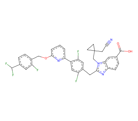 N#CCC1(Cn2c(Cc3cc(F)c(-c4cccc(OCc5ccc(C(F)F)cc5F)n4)cc3F)nc3ccc(C(=O)O)cc32)CC1